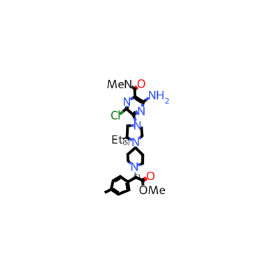 CC[C@H]1CN(c2nc(N)c(C(=O)NC)nc2Cl)CCN1C1CCN([C@H](C(=O)OC)c2ccc(C)cc2)CC1